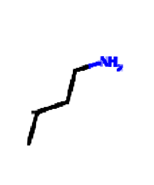 C[CH]CCN